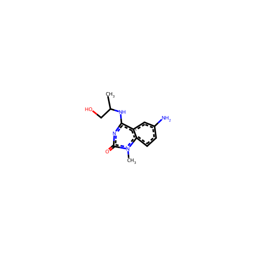 CC(CO)Nc1nc(=O)n(C)c2ccc(N)cc12